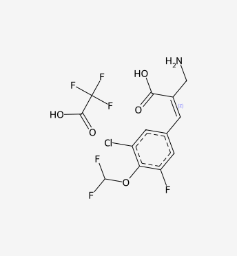 NC/C(=C/c1cc(F)c(OC(F)F)c(Cl)c1)C(=O)O.O=C(O)C(F)(F)F